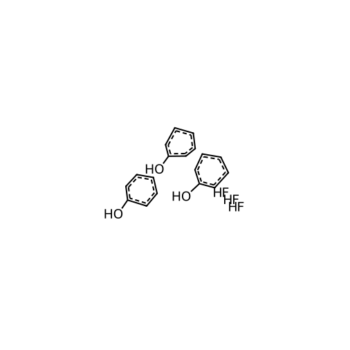 F.F.F.Oc1ccccc1.Oc1ccccc1.Oc1ccccc1